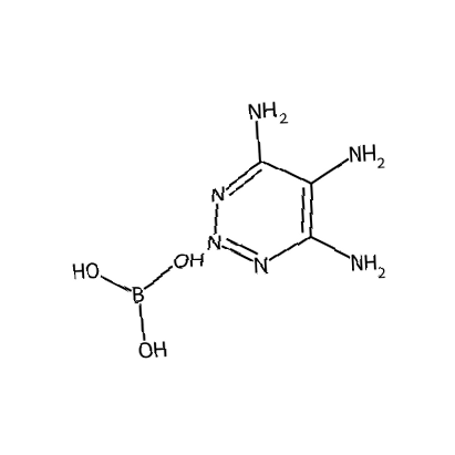 Nc1nnnc(N)c1N.OB(O)O